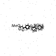 COC(=O)CC(=O)c1ccc(Oc2ncnc(N3CCC(F)(F)CC3)c2[N+](=O)[O-])cc1